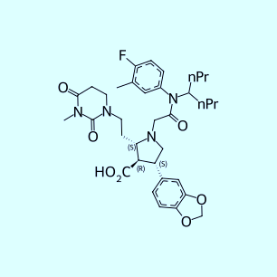 CCCC(CCC)N(C(=O)CN1C[C@H](c2ccc3c(c2)OCO3)[C@@H](C(=O)O)[C@@H]1CCN1CCC(=O)N(C)C1=O)c1ccc(F)c(C)c1